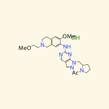 COCCN1CCc2cc(OC)c(Nc3ncc4cnn(CC5CCCN5C(C)=O)c4n3)cc2C1.Cl